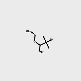 [2H]C(C)(C)C(CCCC)OOC(C)(C)C